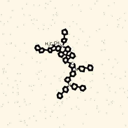 CC1(C)c2cc(-c3ccc4ccccc4c3)ccc2-c2ccc(N(c3ccc(-c4ccccc4)cc3)c3cccc4c3-c3ccccc3C43c4ccccc4-c4c(-c5ccc6c(c5)c5cc(-c7cccc(N(c8ccc(-c9ccccc9)cc8)c8ccc(-c9ccccc9)cc8)c7)ccc5n6-c5ccc(-c6ccccc6)cc5)cccc43)cc21